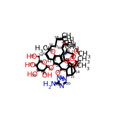 COC(=O)/C(C)=C\CC12OC(C)(C)C3CC(C1=O)C(n1cnc(N)n1)C1C(=O)c4c(O[C@@H]5O[C@H](CO)[C@@H](O)[C@H](O)[C@H]5O)c5c(c(CC=C(C)C)c4OC132)OC(C)(CCC=C(C)C)C=C5